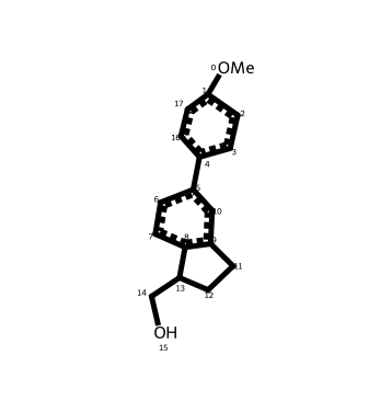 COc1ccc(-c2ccc3c(c2)CCC3CO)cc1